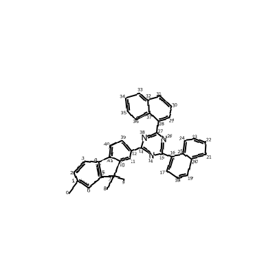 Cc1ccc2c(c1)C(C)(C)c1cc(-c3nc(-c4cccc5ccccc45)nc(-c4cccc5ccccc45)n3)ccc1-2